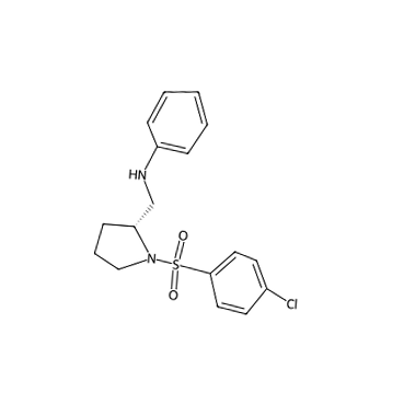 O=S(=O)(c1ccc(Cl)cc1)N1CCC[C@@H]1CNc1ccccc1